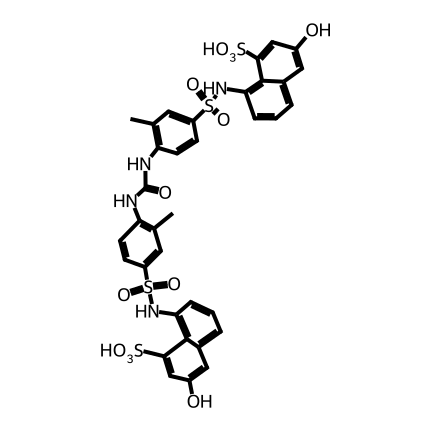 Cc1cc(S(=O)(=O)Nc2cccc3cc(O)cc(S(=O)(=O)O)c23)ccc1NC(=O)Nc1ccc(S(=O)(=O)Nc2cccc3cc(O)cc(S(=O)(=O)O)c23)cc1C